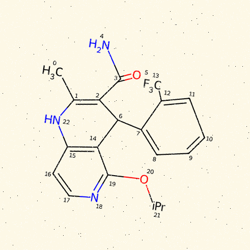 CC1=C(C(N)=O)C(c2ccccc2C(F)(F)F)c2c(ccnc2OC(C)C)N1